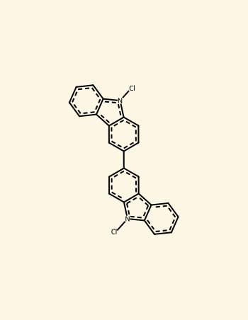 Cln1c2ccccc2c2cc(-c3ccc4c(c3)c3ccccc3n4Cl)ccc21